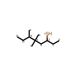 CCC(S)CC(C)(C)C(C)CC